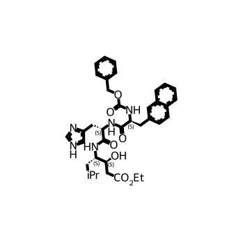 CCOC(=O)C[C@H](O)[C@H](CC(C)C)NC(=O)[C@H](Cc1c[nH]cn1)NC(=O)[C@H](Cc1ccc2ccccc2c1)NC(=O)OCc1ccccc1